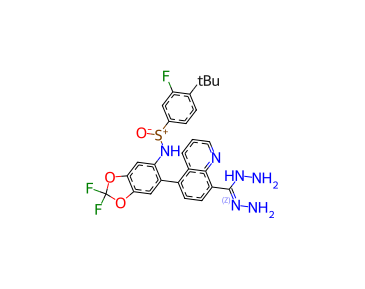 CC(C)(C)c1ccc([S+]([O-])Nc2cc3c(cc2-c2ccc(/C(=N/N)NN)c4ncccc24)OC(F)(F)O3)cc1F